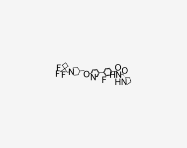 O=C(NC(=O)[C@@H]1CCCN1)c1ccc(-c2ccc(OCC3CCN(CC4(C(F)(F)F)CCC4)CC3)nc2)c(F)c1